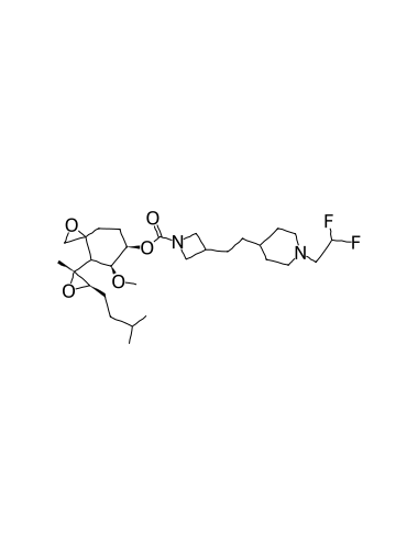 CO[C@H]1C([C@@]2(C)O[C@@H]2CCC(C)C)C2(CC[C@H]1OC(=O)N1CC(CCC3CCN(CC(F)F)CC3)C1)CO2